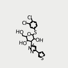 OCC1OC(Sc2ccc(Cl)c(Cl)c2)C(O)C(n2cc(-c3ccsc3)nn2)C1O